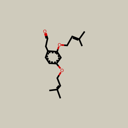 CC(C)=CCOc1ccc(CC=O)c(OCC=C(C)C)c1